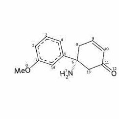 COc1cccc([C@@]2(N)CC=CC(=O)C2)c1